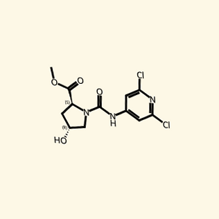 COC(=O)[C@@H]1C[C@@H](O)CN1C(=O)Nc1cc(Cl)nc(Cl)c1